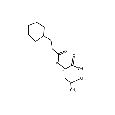 CC(C)C[C@H](NC(=O)CCC1CCCCC1)C(=O)O